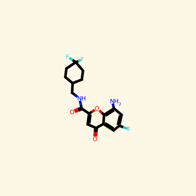 Nc1cc(F)cc2c(=O)cc(C(=O)NCC3CCC(F)(F)CC3)oc12